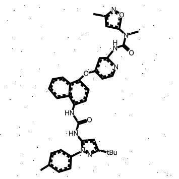 Cc1ccc(-n2nc(C(C)(C)C)cc2NC(=O)Nc2ccc(Oc3ccnc(NC(=O)N(C)c4cc(C)no4)c3)c3ccccc23)cc1